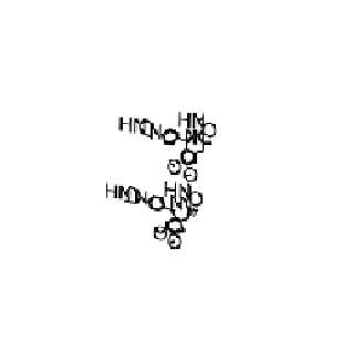 CNC(=O)N1N=C(c2ccc(N3CCNCC3)cc2)c2cc(OC)c(OC)cc2CC1C.CNC(=O)N1N=C(c2ccc(N3CCNCC3)cc2)c2cc(OC)c(OC)cc2C[C@@H]1C